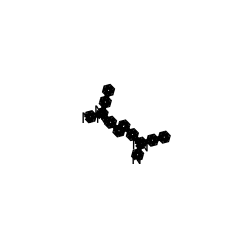 c1ccc(-c2ccc(-c3cc(-c4ccc(-c5cccc6c(-c7ccc(-c8cc(-c9ccc(-c%10ccccc%10)cc9)nc(-c9ccncc9)n8)cc7)cccc56)cc4)nc(-c4ccncc4)n3)cc2)cc1